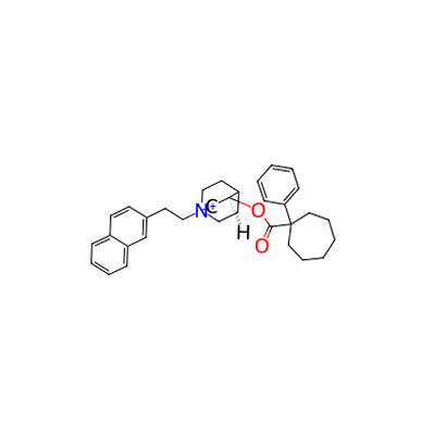 O=C(O[C@H]1C[N+]2(CCc3ccc4ccccc4c3)CCC1CC2)C1(c2ccccc2)CCCCCC1